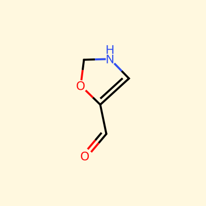 O=CC1=CNCO1